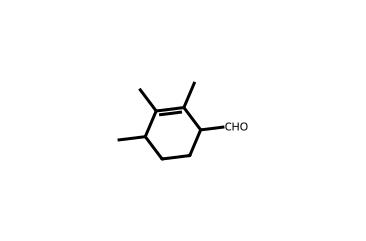 CC1=C(C)C(C=O)CCC1C